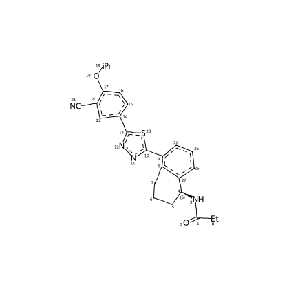 CCC(=O)N[C@H]1CCCc2c(-c3nnc(-c4ccc(OC(C)C)c(C#N)c4)s3)cccc21